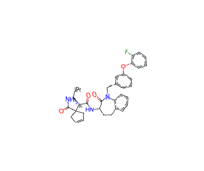 CC(C)C[C@@H](C(=O)NC1CCc2ccccc2N(Cc2cccc(Oc3ccccc3F)c2)C1=O)C1(C(N)=O)CC=CC1